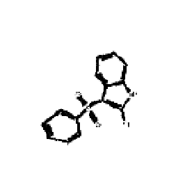 O=S(=O)(c1ccccc1)c1c(Cl)[nH]c2ccccc12